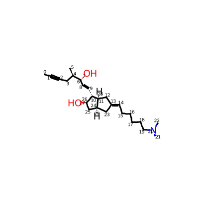 CC#CC[C@@H](C)[C@H](O)/C=C/[C@@H]1[C@H]2C/C(=C/CCCCCN(C)C)C[C@H]2C[C@H]1O